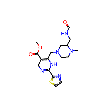 COC(=O)C1=C(CN2CCN(C)C(CNC=O)C2)NC(c2nccs2)=NC1